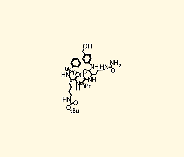 CC(C)[C@H](NC(=O)[C@H](CCCCNC(=O)OC(C)(C)C)NS(=O)(=O)c1ccccc1)C(=O)NC(CCCNC(N)=O)C(=O)Nc1ccc(CO)cc1